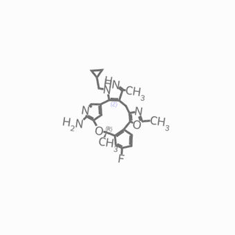 CC(=N)/C1=C(\NCC2CC2)c2cnc(N)c(c2)O[C@H](C)c2cc(F)ccc2-c2oc(C)nc2C1